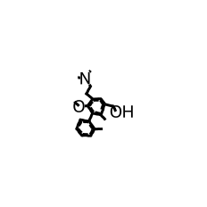 COc1c(CCN(C)C)cc(CO)c(C)c1-c1ccccc1C